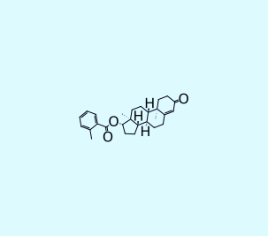 Cc1ccccc1C(=O)O[C@H]1CC[C@H]2[C@@H]3CCC4=CC(=O)CC[C@]4(C)[C@H]3CC[C@]12C